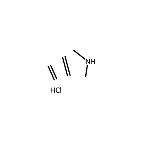 C=C.C=C.CNC.Cl